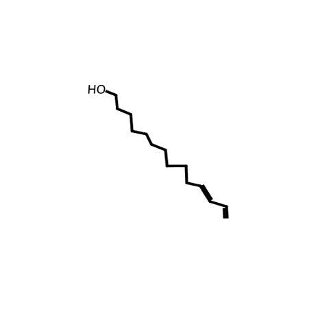 C=C/C=C/CCCCCCCCCCO